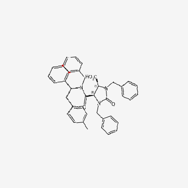 Cc1ccc(CC(c2ccccc2)N(Cc2ccccc2)C(=O)[C@H]2[C@@H](C(=O)O)N(Cc3ccccc3)C(=O)N2Cc2ccccc2)cc1